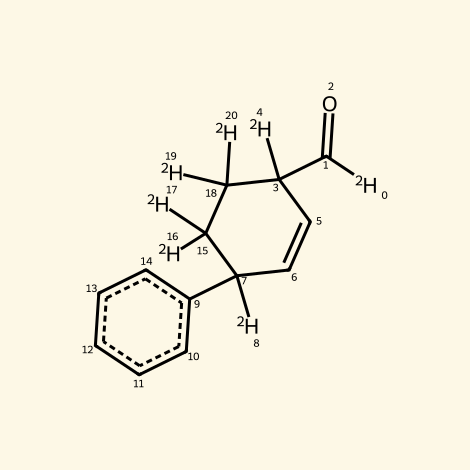 [2H]C(=O)C1([2H])C=CC([2H])(c2ccccc2)C([2H])([2H])C1([2H])[2H]